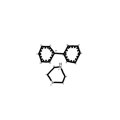 C1CSCCN1.c1ccc(-c2ccccc2)cc1